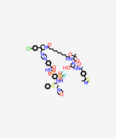 Cc1ncsc1-c1ccc([C@H](C)NC(=O)[C@@H]2C[C@@H](O)CN2C(=O)[C@@H](NC(=O)CCCCCCCCCC(=O)N2CCC(c3ccc(Cl)cc3)=C(CN3CCN(c4ccc(C(=O)NS(=O)(=O)c5ccc(N[C@H](CCN6CCOCC6)CSc6ccccc6)c(S(=O)(=O)C(F)(F)F)c5)cc4)CC3)C2)C(C)(C)C)cc1